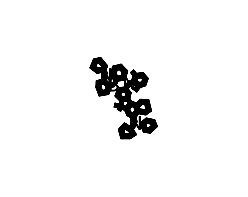 Cc1cccc(C)c1N1c2cc3c(cc2B2c4ccccc4N(c4ccccc4)c4cccc1c42)C(C)(C)c1cc(N(c2ccccc2)c2ccccc2)c2ccccc2c1-3